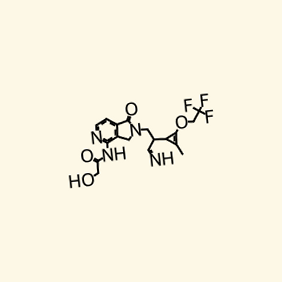 CC1=C(OCC(F)(F)F)C1C(C=N)CN1Cc2c(ccnc2NC(=O)CO)C1=O